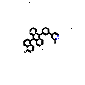 Cc1cc(C2=CCCC(c3c4ccccc4c(-c4cccc5c(C)cccc45)c4ccccc34)=C2)ccn1